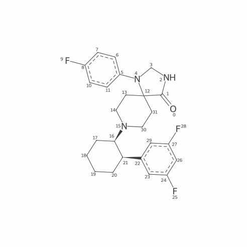 O=C1NCN(c2ccc(F)cc2)C12CCN([C@@H]1CCCC[C@@H]1c1cc(F)cc(F)c1)CC2